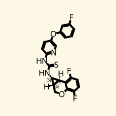 Fc1cccc(Oc2ccc(NC(=S)N[C@@H]3[C@H]4COc5c(F)ccc(F)c5[C@@H]43)nc2)c1